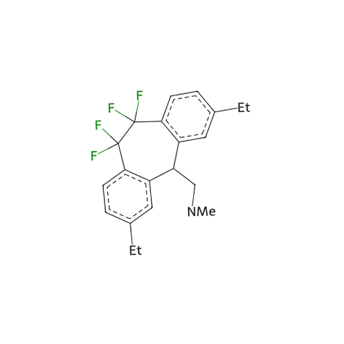 CCc1ccc2c(c1)C(CNC)c1cc(CC)ccc1C(F)(F)C2(F)F